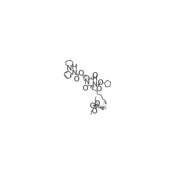 CCOP(=O)(OCC)[C@H]1C[C@H]1/C=C\CCCCC[C@H](NC(=O)OC1CCCC1)C(=O)N1C[C@H](OC(=O)Nc2ccccc2N2CCCCC2)C[C@H]1C=O